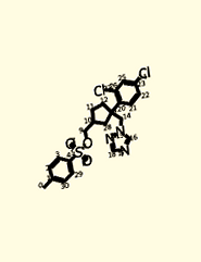 Cc1ccc(S(=O)(=O)OCC2CCC(Cn3cncn3)(c3ccc(Cl)cc3Cl)C2)cc1